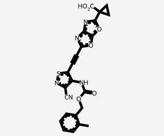 Cc1ccccc1COC(=O)Nc1c(C#N)nsc1C#Cc1nc2nc(C3(C(=O)O)CC3)oc2o1